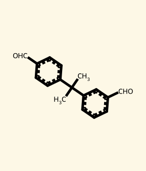 CC(C)(c1ccc(C=O)cc1)c1cccc(C=O)c1